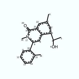 Cc1cc(C(C)O)c2cc(-c3ccccc3C)n(C)c(=O)c2c1